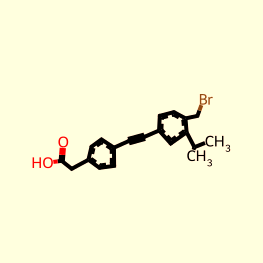 CC(C)c1cc(C#Cc2ccc(CC(=O)O)cc2)ccc1CBr